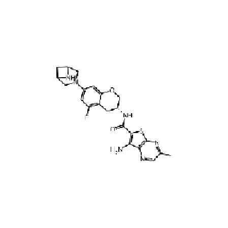 Cc1cnc2c(N)c(C(=O)N[C@H]3COc4cc(N5CC6CC(C5)N6)cc(F)c4C3)sc2n1